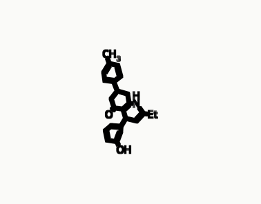 CCC1=CC(c2cccc(O)c2)C2=C(CC(c3ccc(C)cc3)CC2=O)N1